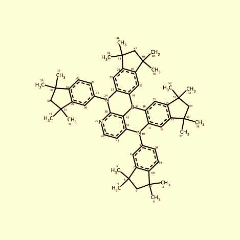 CC1(C)CC(C)(C)c2cc(N3c4cc5c(cc4B4c6cc7c(cc6N(c6ccc8c(c6)C(C)(C)CC8(C)C)c6nccc3c64)C(C)(C)CC7(C)C)C(C)(C)CC5(C)C)ccc21